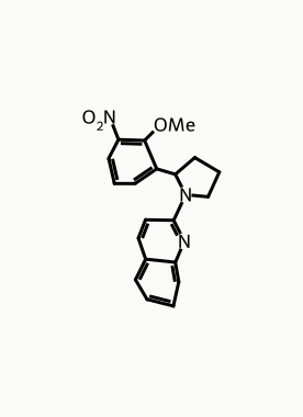 COc1c(C2CCCN2c2ccc3ccccc3n2)cccc1[N+](=O)[O-]